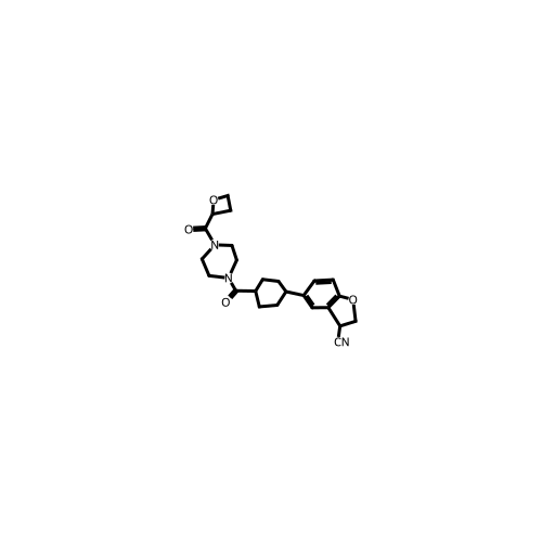 N#CC1COc2ccc(C3CCC(C(=O)N4CCN(C(=O)C5CCO5)CC4)CC3)cc21